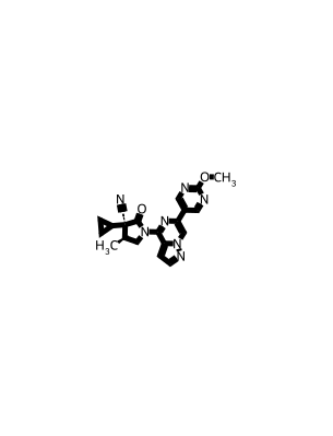 COc1ncc(-c2cn3nccc3c(N3C[C@@H](C)[C@@](C#N)(C4CC4)C3=O)n2)cn1